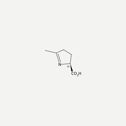 CC1=N[C@H](C(=O)O)CC1